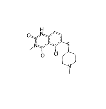 CN1CCC(Sc2ccc3[nH]c(=O)n(C)c(=O)c3c2Cl)CC1